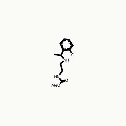 COC(=O)NCCNC(C)c1ccccc1Cl